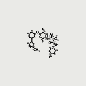 Cn1cc(-c2cc(Oc3cc(F)c(NC(=O)C4(C(=O)Nc5ccc(F)cc5)CC4)cc3F)ccn2)cn1